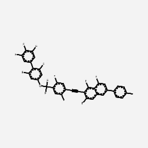 Cc1ccc(-c2cc(F)c3c(F)c(C#Cc4cc(F)c(C(F)(F)Oc5cc(F)c(-c6cc(F)c(F)c(F)c6)c(F)c5)cc4C)c(F)cc3c2)cc1